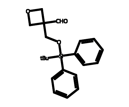 CC(C)(C)[Si](OCC1(C=O)COC1)(c1ccccc1)c1ccccc1